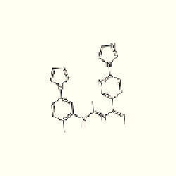 C/C=C(\N=C(/C)Nc1cc(-n2cccc2)ccc1C)c1ccc(-n2ccnc2)nc1